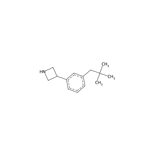 CC(C)(C)Cc1cccc(C2CNC2)c1